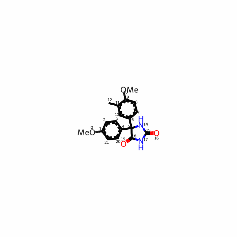 COc1ccc(C2(c3ccc(OC)c(C)c3)NC(=O)NC2=O)cc1